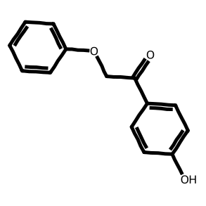 O=C(COc1ccccc1)c1ccc(O)cc1